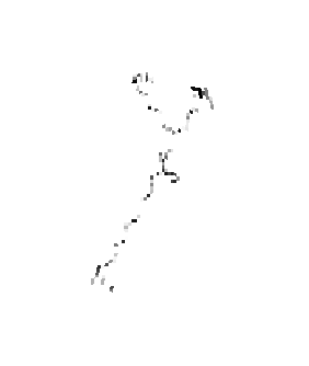 CCCCCCCCCCC(=O)OCC(CCCC)CCCCCC